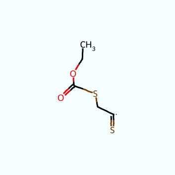 CCOC(=O)SC[C]=S